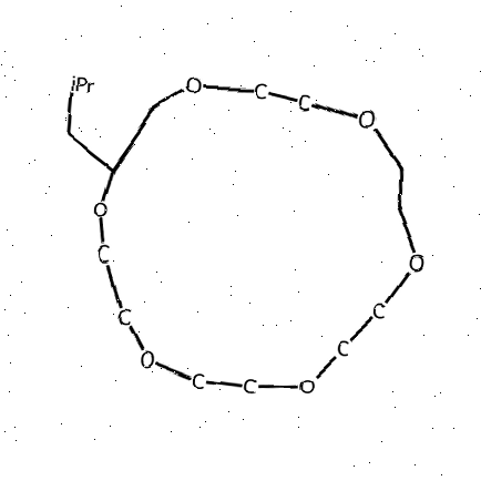 CC(C)CC1COCCOCCOCCOCCOCCO1